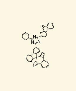 c1ccc(-c2nc(-c3ccc4c(c3)-c3ccccc3C43c4ccccc4-c4ccccc4-c4ccccc43)nc(-c3ccc4c(c3)sc3ccccc34)n2)cc1